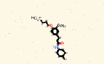 COc1cc(CCC(=O)NC2CCC(C)CC2)ccc1OCCCC(=O)O